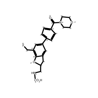 O=C(O)NCC1Cc2cc(-c3ccc(C(=O)N4CCOCC4)cc3)cc(CF)c2O1